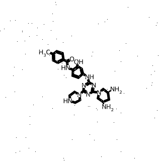 Cc1ccc(C(=O)Nc2ccc(Nc3nc(N4CCNCC4)nc(N4C[C@H](N)C[C@H](N)C4)n3)cc2O)cc1